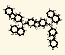 c1ccc2c(N(c3ccc4c(c3)oc3ccccc34)c3cc4oc5nc(N(c6ccc7c(c6)oc6ccccc67)c6cccc7ccccc67)ccc5c4cn3)cccc2c1